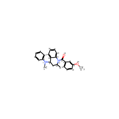 CC(=O)N(c1ccccc1)C1CC(C)N(C(=O)c2cccc(OC(F)(F)F)c2)c2ccccc21